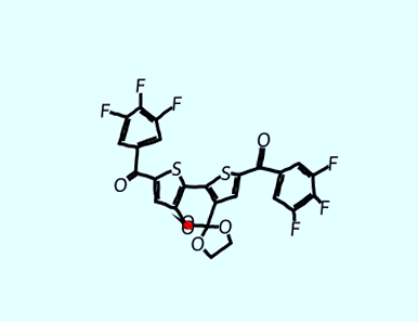 O=C(c1cc(F)c(F)c(F)c1)c1cc2c(s1)-c1sc(C(=O)c3cc(F)c(F)c(F)c3)cc1C1(OCCO1)C21OCCO1